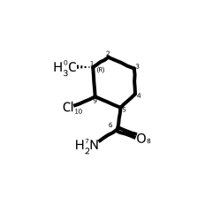 C[C@@H]1CCCC(C(N)=O)C1Cl